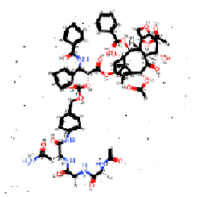 CC(=O)N[C@H](C)C(=O)N[C@H](C)C(=O)N[C@H](CC(N)=O)C(=O)Nc1ccc(COC(=O)O[C@@H](C(=O)O[C@H]2C[C@@]3(O)[C@@H](OC(=O)c4ccccc4)[C@H]4[C@](C)(C(=O)[C@H](OC(C)=O)C(=C2C)C3(C)C)[C@@H](O)CC2OC[C@]24OC(C)=O)C(NC(=O)c2ccccc2)c2ccccc2)cc1